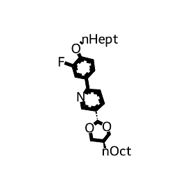 CCCCCCCC[C@H]1CO[C@H](c2ccc(-c3ccc(OCCCCCCC)c(F)c3)nc2)OC1